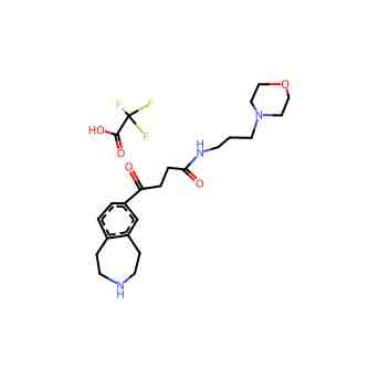 O=C(CCC(=O)c1ccc2c(c1)CCNCC2)NCCCN1CCOCC1.O=C(O)C(F)(F)F